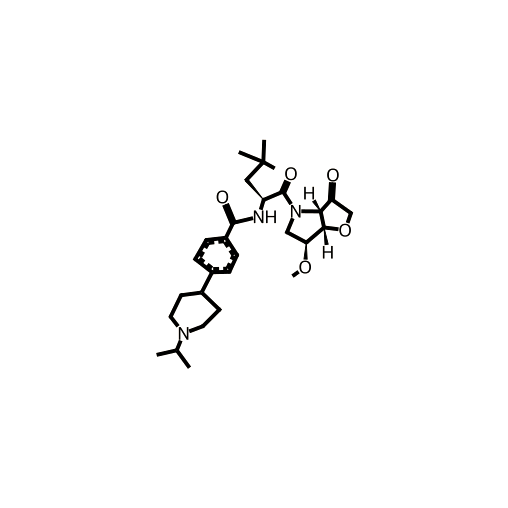 CO[C@H]1CN(C(=O)[C@H](CC(C)(C)C)NC(=O)c2ccc(C3CCN(C(C)C)CC3)cc2)[C@@H]2C(=O)CO[C@H]12